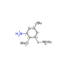 COc1c(N)cc(C(C)(C)C)cc1CNC(C)=O